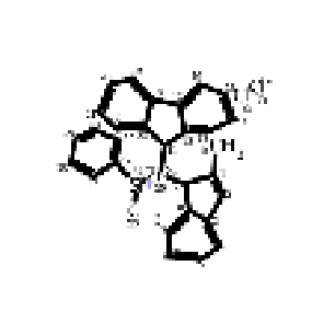 CC1=Cc2ccccc2[CH]1/[Zr+2]([CH]1c2ccccc2-c2ccccc21)=[Si](\C)c1ccccc1.[Cl-].[Cl-]